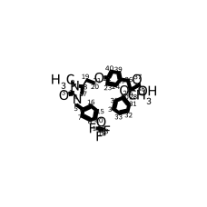 CN1C(=O)N(Cc2ccc(OC(F)(F)F)cc2)C[C@@H]1CCOc1ccc(C[C@](C)(Oc2ccccc2)C(=O)O)cc1